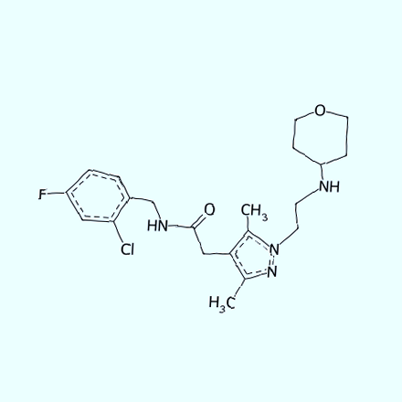 Cc1nn(CCNC2CCOCC2)c(C)c1CC(=O)NCc1ccc(F)cc1Cl